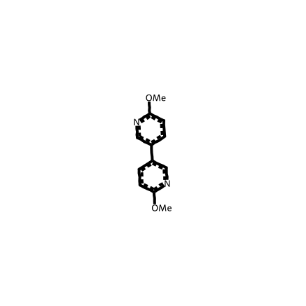 COc1ccc(-c2ccc(OC)nc2)cn1